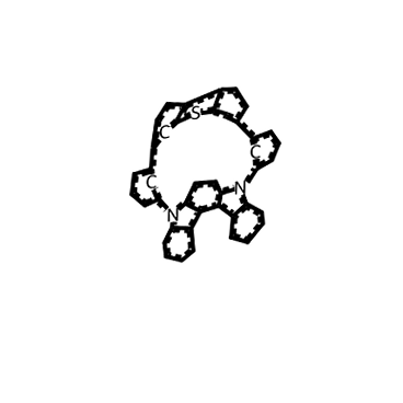 c1ccc2c(c1)c1c3c4ccccc4n4c5cccc(c5)c5ccc6c(c5)sc5cc(ccc56)c5cccc(c5)n2c1ccc34